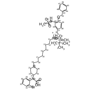 CC(C)(C)[Si](C)(C)O[C@H](CNCCCCCCCCCN1CCC(N(C(=O)O)c2ccccc2Br)CC1)c1ccc(OCc2ccccc2)c(NS(C)(=O)=O)c1